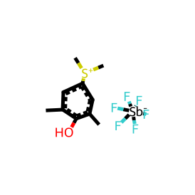 Cc1cc([S+](C)C)cc(C)c1O.[F][Sb-]([F])([F])([F])([F])[F]